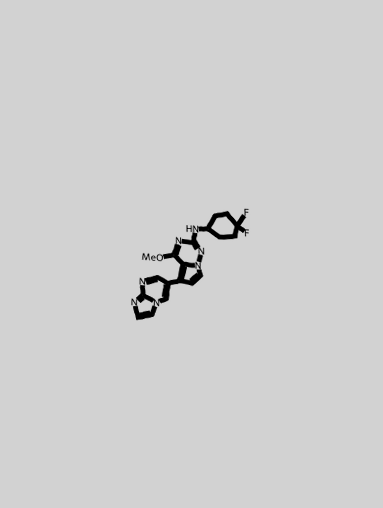 COc1nc(NC2CCC(F)(F)CC2)nn2ccc(-c3cnc4nccn4c3)c12